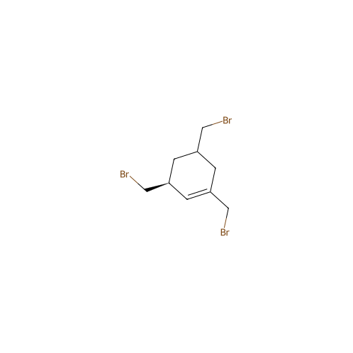 BrCC1=C[C@@H](CBr)CC(CBr)C1